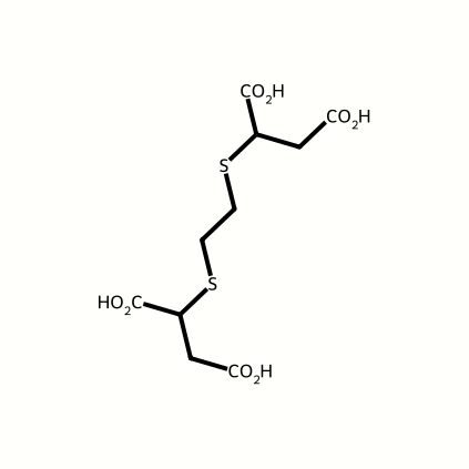 O=C(O)CC(SCCSC(CC(=O)O)C(=O)O)C(=O)O